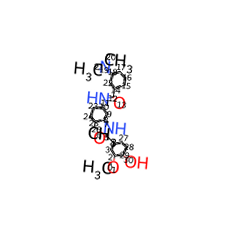 COc1cc(C(=O)Nc2cc(NC(=O)c3cccc(N(C)C)c3)ccc2C)ccc1O